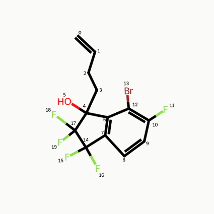 C=CCCC1(O)c2c(ccc(F)c2Br)C(F)(F)C1(F)F